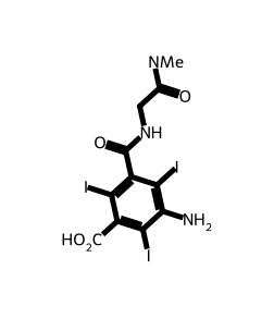 CNC(=O)CNC(=O)c1c(I)c(N)c(I)c(C(=O)O)c1I